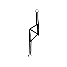 O=C1C2C(=O)C12